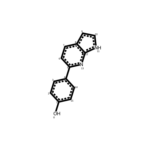 Oc1ccc(-c2ccc3cc[nH]c3n2)cc1